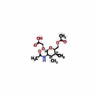 CC(=O)NC1[C@H](OCC(=O)O)OC(COC(C)=O)[C@@H](C)[C@@H]1C